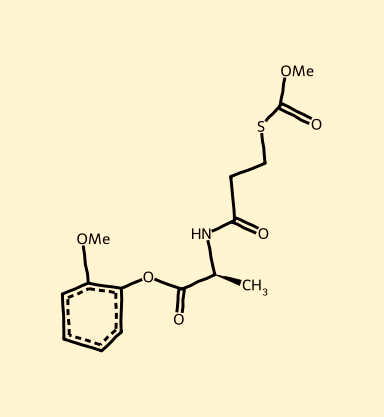 COC(=O)SCCC(=O)N[C@@H](C)C(=O)Oc1ccccc1OC